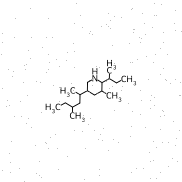 CCC(C)CC(C)C1CNC(C(C)CC)C(C)C1